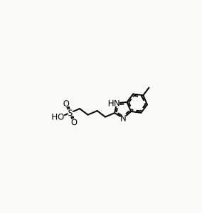 Cc1ccc2nc(CCCCS(=O)(=O)O)[nH]c2c1